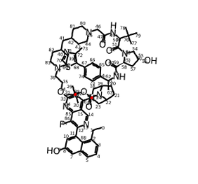 CCc1cccc2cc(O)cc(-c3ncc4c(N5CC6CCC(C5)N6C(=O)OC(C)(C)C)nc(OCCN5CCC(CC6CCN(CC(=O)N[C@H](C(=O)N7C[C@H](O)C[C@H]7C(=O)N[C@@H](C)c7ccc(-c8scnc8C)cc7)C(C)(C)C)CC6)CC5)nc4c3F)c12